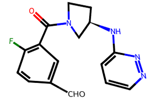 O=Cc1ccc(F)c(C(=O)N2CC[C@@H](Nc3cccnn3)C2)c1